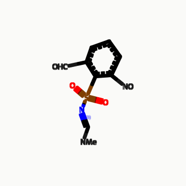 CN/C=N/S(=O)(=O)c1c(C=O)cccc1N=O